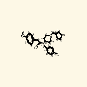 COc1ccc(CC(=O)N(Cc2ccc(C)cc2)C2CCN(CC3CCCC3)CC2)cc1